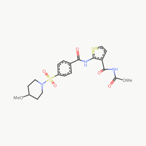 COC(=O)NC(=O)c1ccsc1NC(=O)c1ccc(S(=O)(=O)N2CCC(OC)CC2)cc1